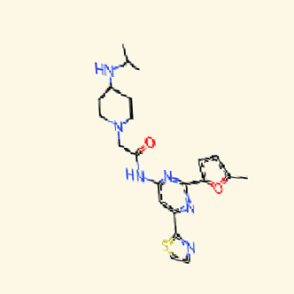 Cc1ccc(-c2nc(NC(=O)CN3CCC(NC(C)C)CC3)cc(-c3nccs3)n2)o1